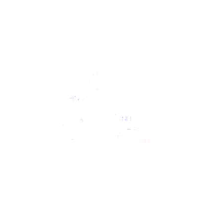 O=C(CO)NC1CC(c2c(-c3ccc(F)cc3)[nH]c3c(F)cc(F)cc23)C1